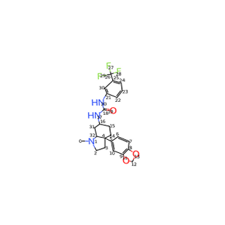 CN1CCC2(c3ccc4c(c3)OCO4)CCC(NC(=O)Nc3cccc(C(F)(F)F)c3)CC12